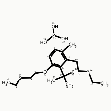 CCSCCOc1ccc(C)c(CCSCC)c1C(C)(C)C.OP(O)O